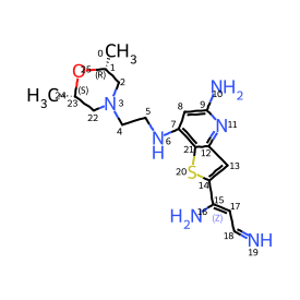 C[C@@H]1CN(CCNc2cc(N)nc3cc(/C(N)=C/C=N)sc23)C[C@H](C)O1